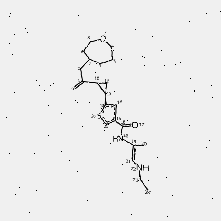 C=C(CC1CCCOCC1)C1C[C@H]1c1cc(C(=O)N/C(C)=C/NCC)cs1